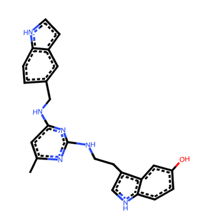 Cc1cc(NCc2ccc3[nH]ccc3c2)nc(NCCc2c[nH]c3ccc(O)cc23)n1